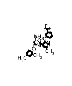 Cc1ccc(OC[C@H](CON)NC(=O)c2cc(C)nnc2Oc2cccc(C(F)(F)F)c2)c(C)c1